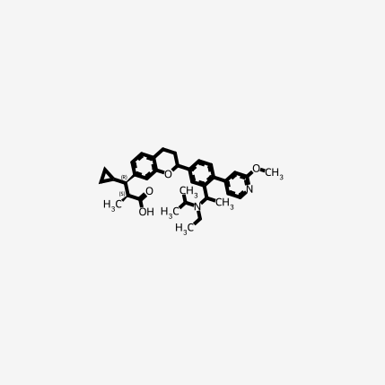 CCN(C(C)C)C(C)c1cc(C2CCc3ccc([C@H](C4CC4)[C@H](C)C(=O)O)cc3O2)ccc1-c1ccnc(OC)c1